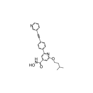 CC(C)CCOc1cc(C(=O)NO)cc(-c2ccc(C#Cc3cccnc3)cc2)n1